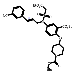 CCOC(=O)CS(=O)(=O)N(C/C=C/c1cccc(C#N)c1)c1ccc(OC2CCN(C(=O)OC(C)(C)C)CC2)c(C(=O)OCC)c1